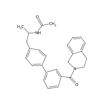 CC(=O)NC(C)Cc1ccc(-c2cccc(C(=O)N3CCc4ccccc4C3)c2)cc1